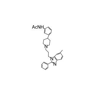 CC(=O)Nc1cccc(C2CCN(CCCn3c(-c4ccccc4)nc4ccc(C)cc43)CC2)c1